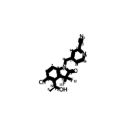 C[C@H](O)c1c(Cl)ccc2c1C(F)(F)C(=O)N2Cc1ccnc(C#N)c1